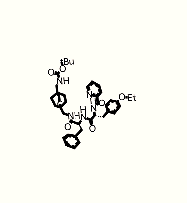 CCOc1ccc(C[C@@H](NC(=O)c2ccccn2)C(=O)N[C@@H](Cc2ccccc2)C(=O)NCC23CCC(CNC(=O)OC(C)(C)C)(CC2)CC3)cc1